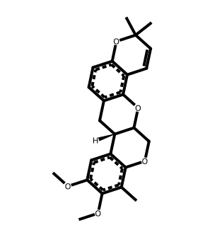 COc1cc2c(c(C)c1OC)OCC1Oc3c(ccc4c3C=CC(C)(C)O4)C[C@@H]21